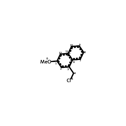 COc1cc(CCl)c2ccccc2c1